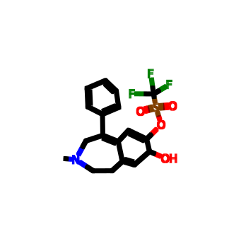 CN1CCC2=CC(O)C(OS(=O)(=O)C(F)(F)F)=CC2=C(c2ccccc2)C1